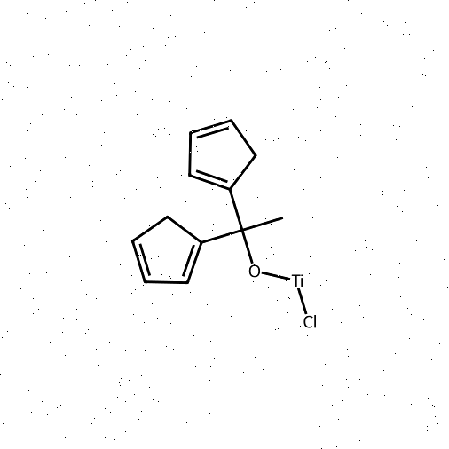 CC([O][Ti][Cl])(C1=CC=CC1)C1=CC=CC1